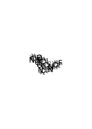 O=C(c1ccccn1)[C@]12Cc3cnn(-c4ccc(F)cc4)c3C=C1CC[C@H](S(=O)(=O)c1cccnc1)C2